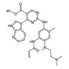 C=CC(=O)Nc1cc(Nc2ncc(C(=O)OC(C)C)c(-c3c[nH]c4ncccc34)n2)c(C)cc1N(C)CCN(C)C